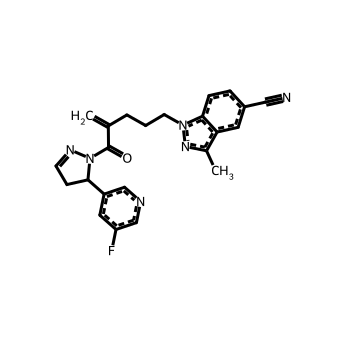 C=C(CCCn1nc(C)c2cc(C#N)ccc21)C(=O)N1N=CCC1c1cncc(F)c1